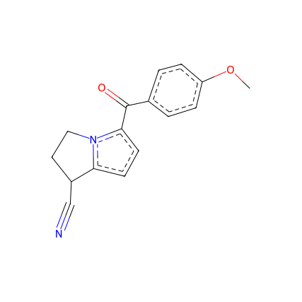 COc1ccc(C(=O)c2ccc3n2CCC3C#N)cc1